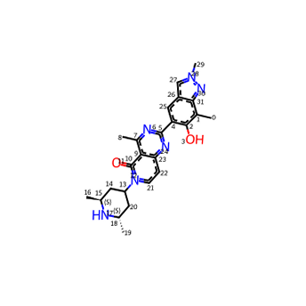 Cc1c(O)c(-c2nc(C)c3c(=O)n(C4C[C@H](C)N[C@@H](C)C4)ccc3n2)cc2cn(C)nc12